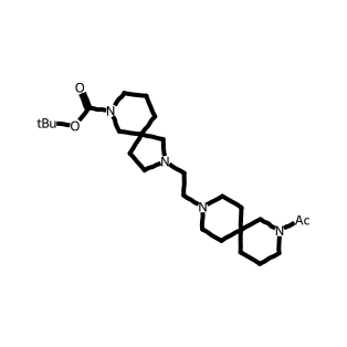 CC(=O)N1CCCC2(CCN(CCN3CCC4(CCCN(C(=O)OC(C)(C)C)C4)C3)CC2)C1